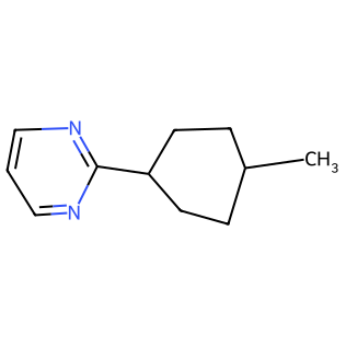 CC1CCC(c2ncccn2)CC1